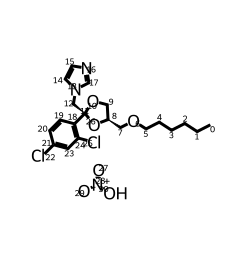 CCCCCCOC[C@@H]1CO[C@@](Cn2ccnc2)(c2ccc(Cl)cc2Cl)O1.O=[N+]([O-])O